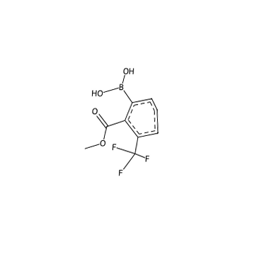 COC(=O)c1c(B(O)O)cccc1C(F)(F)F